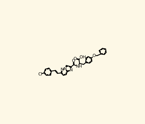 O=C(NC(Cc1ccc(OCc2ccccc2)cc1)C(=O)O)c1cn2nc(C=Cc3ccc(Cl)cc3)ccc2n1